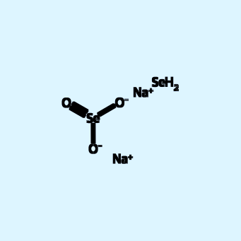 O=[Se]([O-])[O-].[Na+].[Na+].[SeH2]